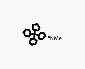 CNC.c1ccc(C(c2ccccc2)(c2ccccc2)c2ccccc2)cc1